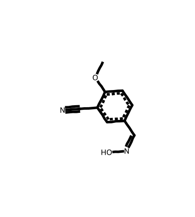 COc1ccc(/C=N\O)cc1C#N